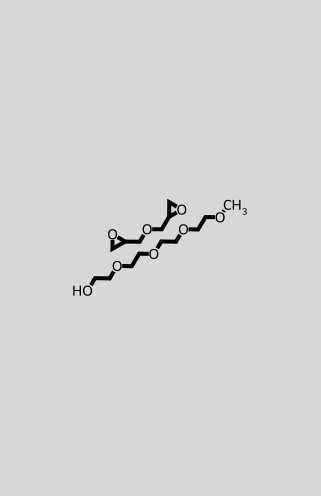 C(OCC1CO1)C1CO1.COCCOCCOCCOCCO